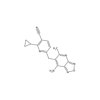 Cc1nc2nonc2c(N)c1Cc1ccc(C#N)c(C2CC2)n1